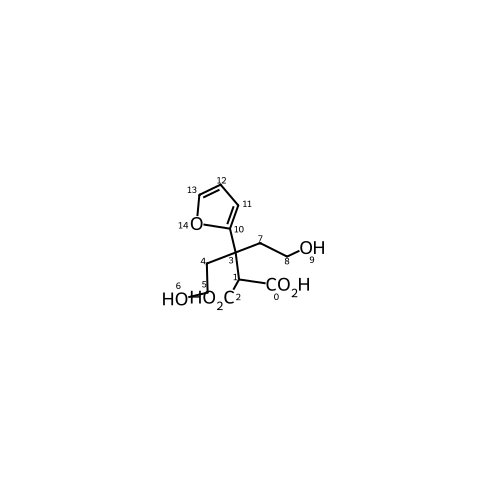 O=C(O)C(C(=O)O)C(CCO)(CCO)c1ccco1